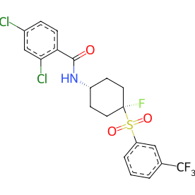 O=C(N[C@H]1CC[C@](F)(S(=O)(=O)c2cccc(C(F)(F)F)c2)CC1)c1ccc(Cl)cc1Cl